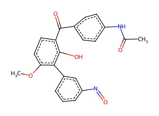 COc1ccc(C(=O)c2ccc(NC(C)=O)cc2)c(O)c1-c1cccc(N=O)c1